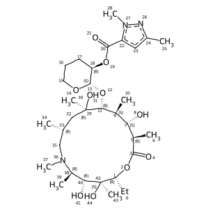 CC[C@H]1OC(=O)[C@H](C)[C@@H](O)[C@H](C)[C@@H](O[C@@H]2OCCC[C@H]2OC(=O)c2cc(C)nn2C)[C@](C)(O)C[C@@H](C)CN(C)[C@H](C)[C@@H](O)[C@]1(C)O